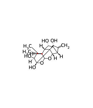 C=C1[C@H]2C[C@@H](O)[C@H]3[C@]45CCCC(C)(C)[C@H]4[C@H](O)[C@@]4(O)OC5O[C@@H]2[C@@]34[C@@H]1O